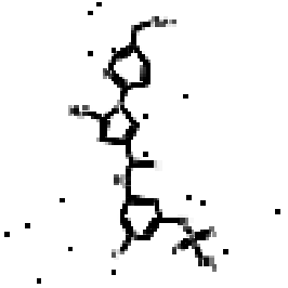 COCc1ccc(-n2cc(C(=O)Nc3cc(Cl)cc(NS(C)(=O)=O)c3)cc2C)nc1